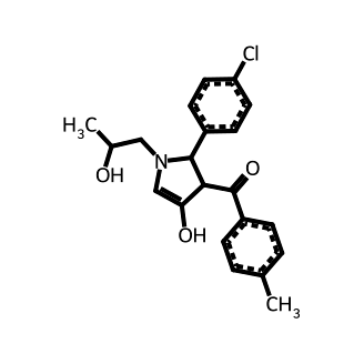 Cc1ccc(C(=O)C2C(O)=CN(CC(C)O)C2c2ccc(Cl)cc2)cc1